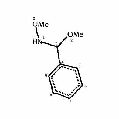 CONC(OC)c1ccccc1